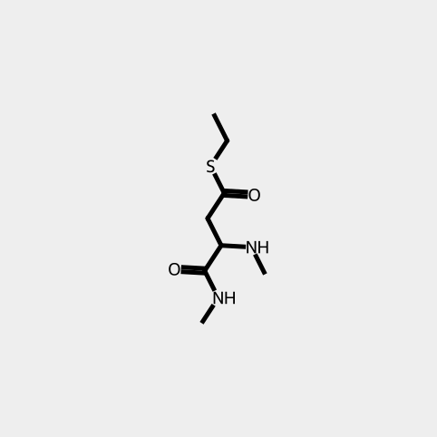 CCSC(=O)CC(NC)C(=O)NC